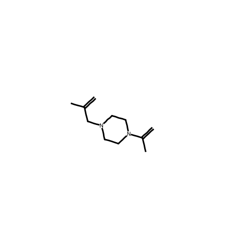 C=C(C)CN1CCN(C(=C)C)CC1